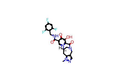 Cn1ncc2c1C[C@H]1CN(C2)C(=O)c2c(O)c(=O)c(C(=O)NCc3c(F)cc(F)cc3F)cn21